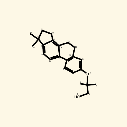 CC(C)(CO)Oc1ccc2c(c1)CCc1c-2ccc2c1CCC2(C)C